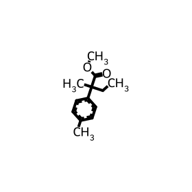 CCC(C)(C(=O)OC)c1ccc(C)cc1